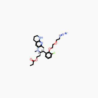 CCC(=O)OCC[C@@H](NC)[C@H](Cc1ccc2c(n1)NCCC2)c1cccc(F)c1OCCOCCN=[N+]=[N-]